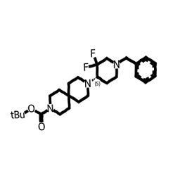 CC(C)(C)OC(=O)N1CCC2(CC1)CCN([C@H]1CCN(Cc3ccccc3)CC1(F)F)CC2